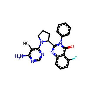 N#Cc1c(N)ncnc1N1CCCC1c1nc2cccc(F)c2c(=O)n1-c1ccccc1